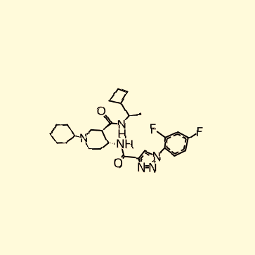 C[C@@H](NC(=O)[C@@H]1CN(C2CCCCC2)CC[C@H]1NC(=O)c1cn(-c2ccc(F)cc2F)nn1)C1CCC1